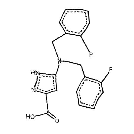 O=C(O)c1cc(N(Cc2ccccc2F)Cc2ccccc2F)[nH]n1